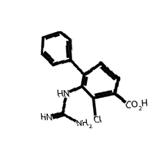 N=C(N)Nc1c(-c2ccccc2)ccc(C(=O)O)c1Cl